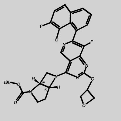 CC(C)(C)OC(=O)N1CC[C@@H]2[C@H]1CN2c1nc(OC2COC2)nc2c(F)c(-c3cccc4ccc(F)c(Cl)c34)ncc12